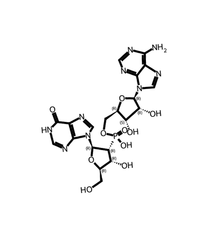 Nc1ncnc2c1ncn2[C@@H]1O[C@H](COP(=O)(O)[C@@H]2[C@H](O)[C@@H](CO)O[C@H]2n2cnc3c(=O)[nH]cnc32)[C@@H](O)[C@H]1O